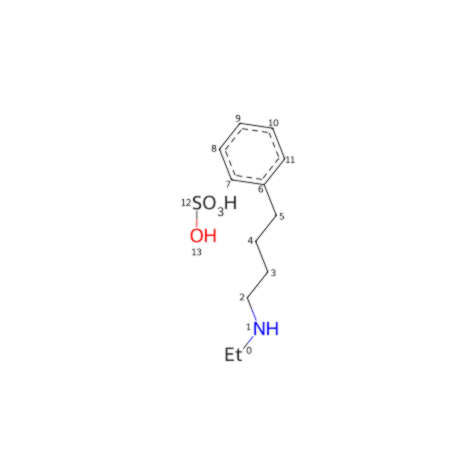 CCNCCCCc1ccccc1.O=S(=O)(O)O